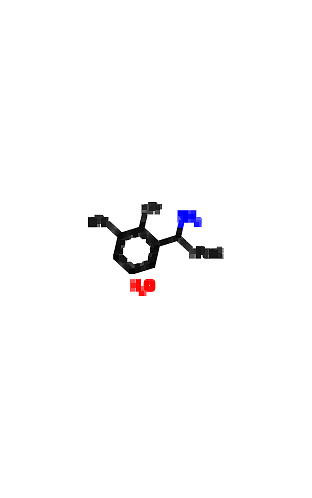 CCCCCC(N)c1cccc(CCC)c1CCC.O